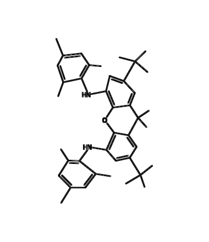 Cc1cc(C)c(Nc2cc(C(C)(C)C)cc3c2Oc2c(Nc4c(C)cc(C)cc4C)cc(C(C)(C)C)cc2C3(C)C)c(C)c1